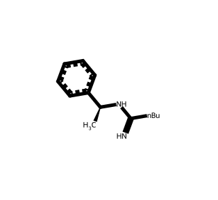 CCCCC(=N)N[C@@H](C)c1ccccc1